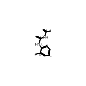 C=C(C)NC(=C)Nc1ccccc1C